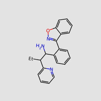 CCC(c1ccccn1)C(N)c1ccccc1-c1noc2ccccc12